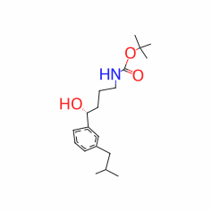 CC(C)Cc1cccc([C@H](O)CCCNC(=O)OC(C)(C)C)c1